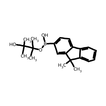 CC1(C)c2ccccc2-c2ccc(B(O)OC(C)(C)C(C)(C)O)cc21